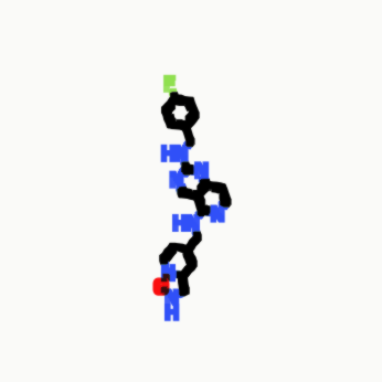 Fc1ccc(CNc2ncc3c(NCC4=CC5=CNON5C=C4)nccc3n2)cc1